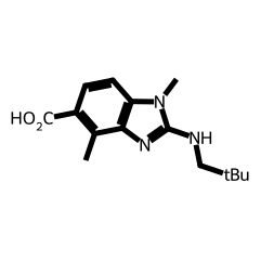 Cc1c(C(=O)O)ccc2c1nc(NCC(C)(C)C)n2C